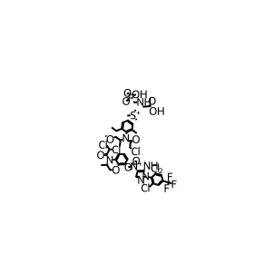 CC1COc2ccccc2N1C(=O)C(Cl)Cl.CCc1cccc(C)c1N(C(=O)CCl)C(C)COC.C[S+](C)C.Nc1c([N+](=O)[O-])cnn1-c1c(Cl)cc(C(F)(F)F)cc1Cl.O=C(O)CNCP(=O)([O-])O